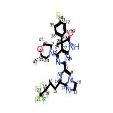 C[C@@H]1CN(c2nc(-c3cn4ccnc4c(CCC(F)(F)C(F)(F)F)n3)nc3c2C(C)(c2ccc(F)cc2)C(=O)N3)C[C@H](C)O1